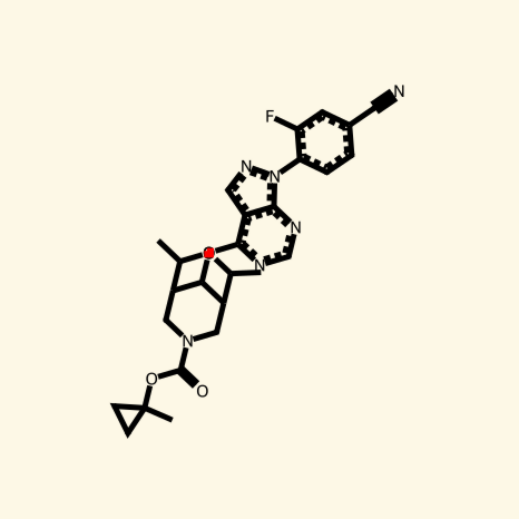 CC1OC(C)C2CN(C(=O)OC3(C)CC3)CC1C2Oc1ncnc2c1cnn2-c1ccc(C#N)cc1F